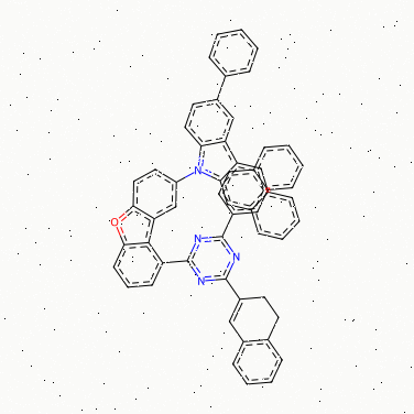 C1=C(c2nc(-c3ccc4ccccc4c3)nc(-c3cccc4oc5ccc(-n6c7ccc(-c8ccccc8)cc7c7cc8ccccc8cc76)cc5c34)n2)CCc2ccccc21